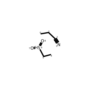 CCC#N.CC[SH](=O)=O